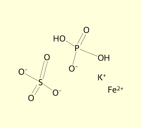 O=P([O-])(O)O.O=S(=O)([O-])[O-].[Fe+2].[K+]